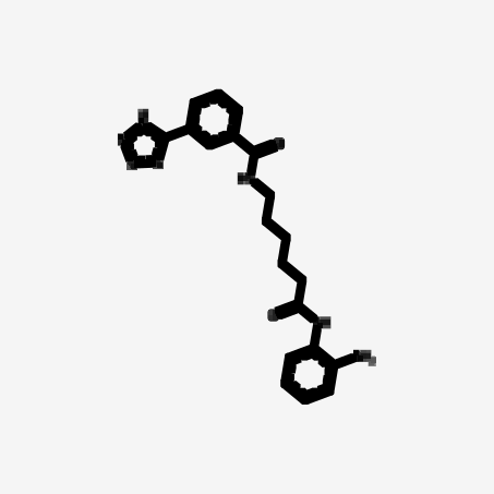 Nc1ccccc1NC(=O)CCCCCNC(=O)c1cccc(-c2nnn[nH]2)c1